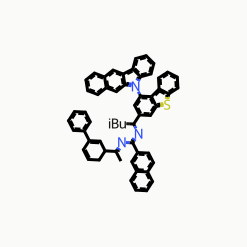 CCC(C)C(/N=C(\N=C(/C)C1C=C(c2ccccc2)C=CC1)c1ccc2ccccc2c1)c1cc(-n2c3ccccc3c3cc4ccccc4cc32)c2c(c1)sc1ccccc12